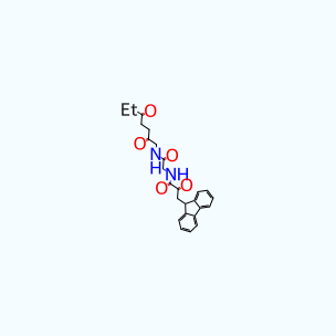 [CH2]CC(=O)CCC(=O)CNC(=O)CNC(=O)C(=O)CC1c2ccccc2-c2ccccc21